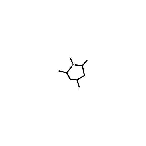 CC1CC(I)CC(C)N1I